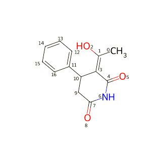 CC(O)=C1C(=O)NC(=O)CC1c1ccccc1